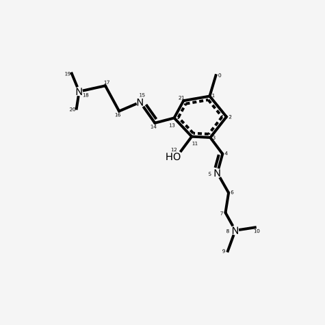 Cc1cc(C=NCCN(C)C)c(O)c(C=NCCN(C)C)c1